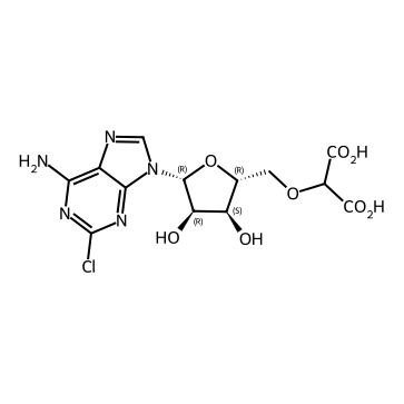 Nc1nc(Cl)nc2c1ncn2[C@@H]1O[C@H](COC(C(=O)O)C(=O)O)[C@@H](O)[C@H]1O